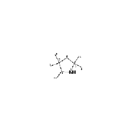 CC1NC(C)(C)CC1(C)C